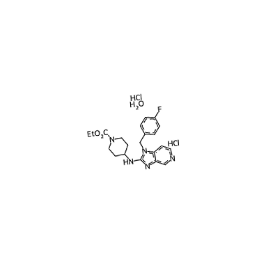 CCOC(=O)N1CCC(Nc2nc3cnccc3n2Cc2ccc(F)cc2)CC1.Cl.Cl.O